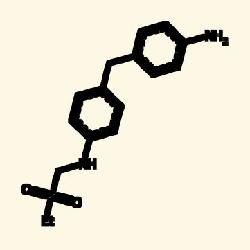 CCS(=O)(=O)CNc1ccc(Cc2ccc(N)cc2)cc1